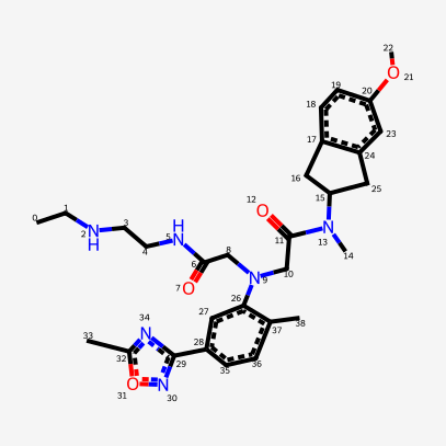 CCNCCNC(=O)CN(CC(=O)N(C)C1Cc2ccc(OC)cc2C1)c1cc(-c2noc(C)n2)ccc1C